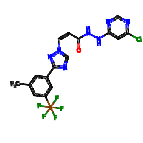 O=C(/C=C\n1cnc(-c2cc(C(F)(F)F)cc(S(F)(F)(F)(F)F)c2)n1)NNc1cc(Cl)ncn1